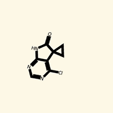 O=C1Nc2ncnc(Cl)c2C12CC2